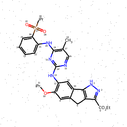 CCOC(=O)c1n[nH]c2c1Cc1cc(OC(C)C)c(Nc3ncc(C)c(Nc4ccccc4S(=O)(=O)C(C)C)n3)cc1-2